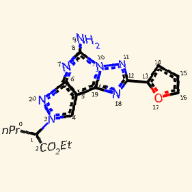 CCCC(C(=O)OCC)n1cc2c(nc(N)n3nc(-c4ccco4)nc23)n1